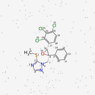 CSc1ncnn1C[C@]1(c2ccccc2)O[C@@H]1c1ccc(Cl)c(Cl)c1Cl